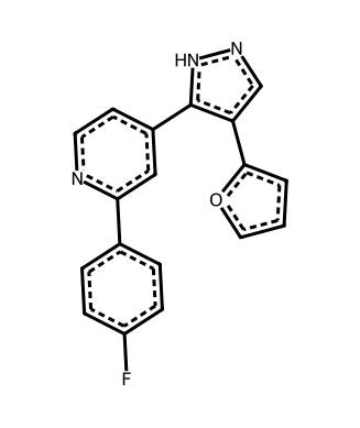 Fc1ccc(-c2cc(-c3[nH]ncc3-c3ccco3)ccn2)cc1